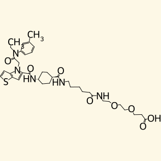 CCN(C(=O)Cn1c(C(=O)N[C@H]2CC[C@H](C(=O)NCCCCCC(=O)NCCOCCOCCC(=O)O)CC2)cc2sccc21)c1cccc(C)c1